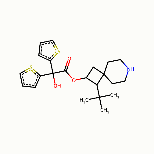 CC(C)(C)C1C(OC(=O)C(O)(c2cccs2)c2cccs2)CC12CCNCC2